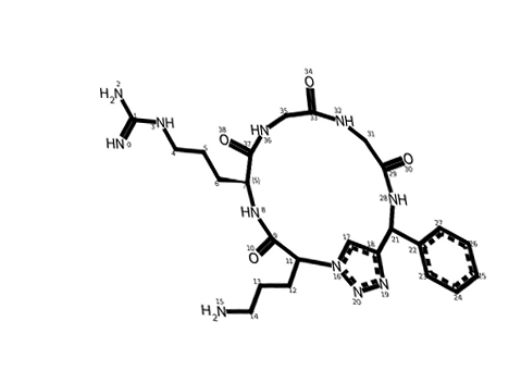 N=C(N)NCCC[C@@H]1NC(=O)C(CCCN)n2cc(nn2)C(c2ccccc2)NC(=O)CNC(=O)CNC1=O